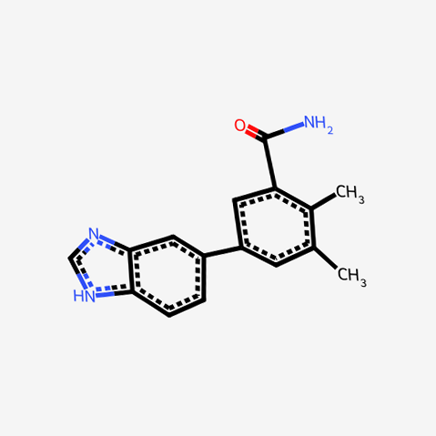 Cc1cc(-c2ccc3[nH]cnc3c2)cc(C(N)=O)c1C